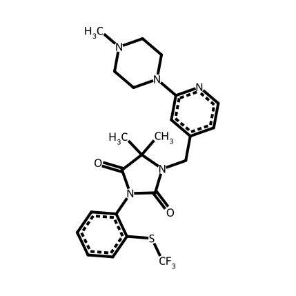 CN1CCN(c2cc(CN3C(=O)N(c4ccccc4SC(F)(F)F)C(=O)C3(C)C)ccn2)CC1